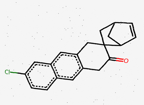 O=C1Cc2cc3ccc(Cl)cc3cc2CC12CC1C=CC2C1